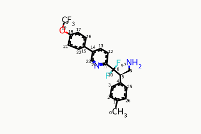 Cc1ccc([C@H](CN)C(F)(F)c2ccc(-c3ccc(OC(F)(F)F)cc3)cn2)cc1